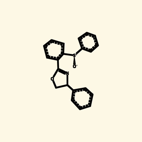 [O-][S@+](c1ccccc1)c1ccccc1C1=NC(c2ccccc2)CO1